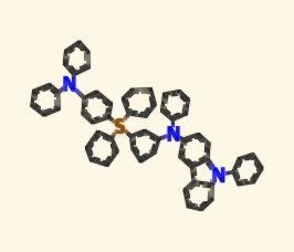 c1ccc(N(c2ccccc2)c2ccc(S(c3ccccc3)(c3ccccc3)c3cccc(N(c4ccccc4)c4ccc5c(c4)c4ccccc4n5-c4ccccc4)c3)cc2)cc1